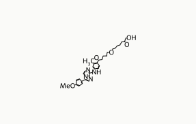 COc1ccc(-c2cnc3c(Nc4ccc(C(=O)CCCCOCCCCCC(=O)CO)c(C)c4)nccn23)cc1